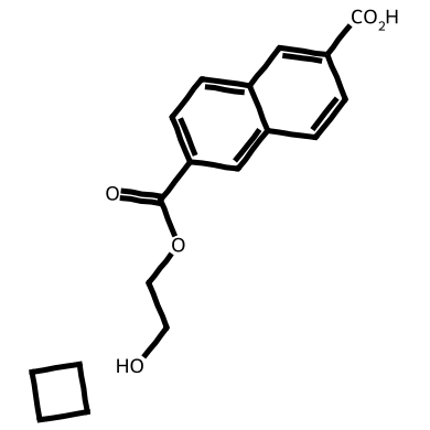 C1CCC1.O=C(O)c1ccc2cc(C(=O)OCCO)ccc2c1